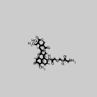 CC[C@@]1(O)C(=O)OCc2c1cc1n(c2=O)Cc2c-1nc1cc(F)c(C)c3c1c2[C@@H](NC(=O)COCNC(=O)CN)CC3